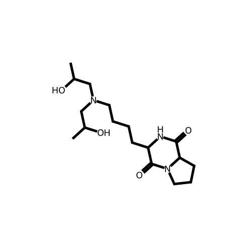 CC(O)CN(CCCCC1NC(=O)C2CCCN2C1=O)CC(C)O